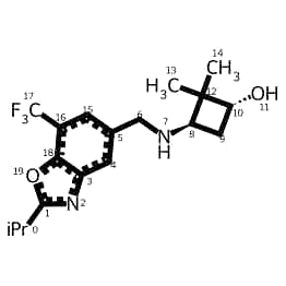 CC(C)c1nc2cc(CN[C@@H]3C[C@@H](O)C3(C)C)cc(C(F)(F)F)c2o1